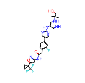 CC(C)(CO)N/C=C(\C=N)Nc1ncc(-c2ccc(CC(=O)Nc3cc(C4(C(F)(F)F)CC4)on3)c(F)c2)cn1